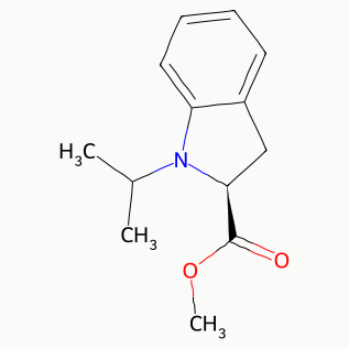 COC(=O)[C@@H]1Cc2ccccc2N1C(C)C